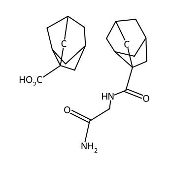 NC(=O)CNC(=O)C12CC3CC(CC1C3)C2.O=C(O)C12CC3CC(CC1C3)C2